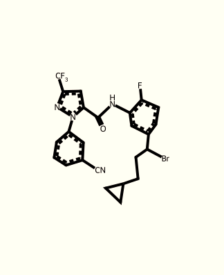 N#Cc1cccc(-n2nc(C(F)(F)F)cc2C(=O)Nc2cc(C(Br)CCC3CC3)ccc2F)c1